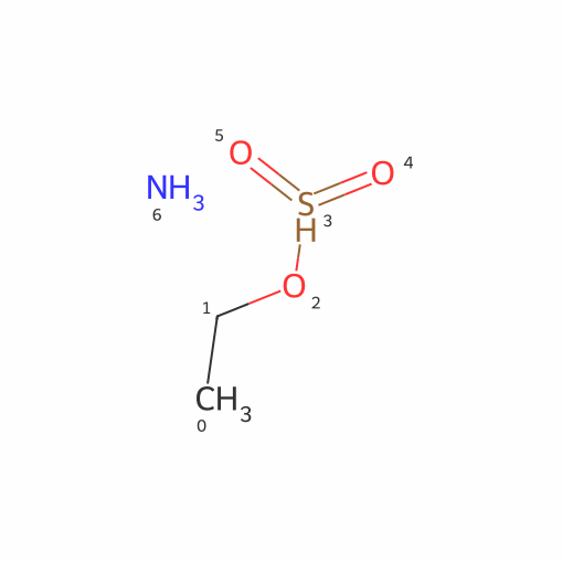 CCO[SH](=O)=O.N